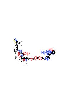 Cc1ncsc1-c1ccc([C@H](C)NC(=O)[C@@H]2C[C@@H](O)CN2C(=O)[C@@H](c2cc(CCCOCCOCCOCCn3cc(/C(=C/C(=N)c4ccccc4O)C(=N)N)cn3)no2)C(C)C)cc1